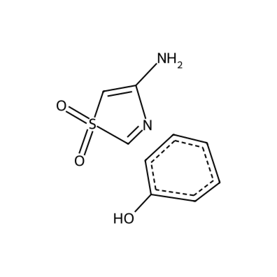 NC1=CS(=O)(=O)C=N1.Oc1ccccc1